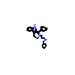 CN(CCCN1CCc2c([nH]c3ccccc23)C1c1ccccc1)Cc1ccccc1